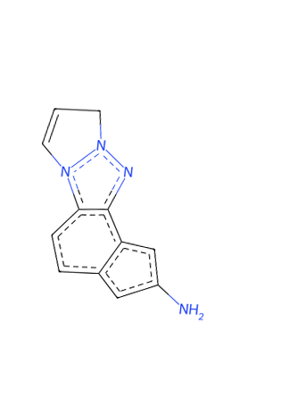 Nc1cc2ccc3c(nn4n3C=CC4)c2c1